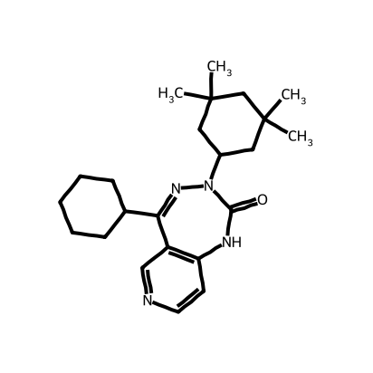 CC1(C)CC(N2N=C(C3CCCCC3)c3cnccc3NC2=O)CC(C)(C)C1